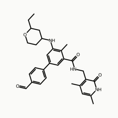 CCC1CC(Nc2cc(-c3ccc(C=O)cc3)cc(C(=O)NCc3c(C)cc(C)[nH]c3=O)c2C)CCO1